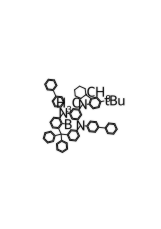 CC(C)(C)c1ccc2c(c1)C1(C)CCCCC1(C)N2c1cc2c3c(c1)N(c1ccc(-c4ccccc4)cc1)c1cccc4c1B3c1c(cccc1C4(c1ccccc1)c1ccccc1)N2c1ccc(-c2ccccc2)cc1